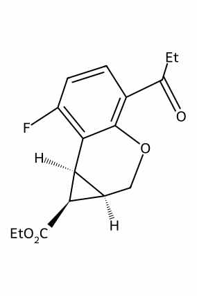 CCOC(=O)[C@@H]1[C@@H]2COc3c(C(=O)CC)ccc(F)c3[C@@H]21